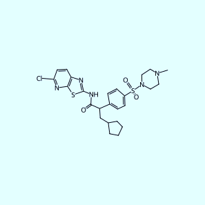 CN1CCN(S(=O)(=O)c2ccc(C(CC3CCCC3)C(=O)Nc3nc4ccc(Cl)nc4s3)cc2)CC1